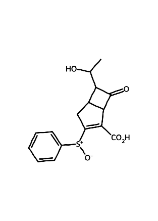 CC(O)C1C(=O)C2C(C(=O)O)=C([S+]([O-])c3ccccc3)CC21